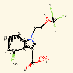 O=C(O)c1cn(CCOC(F)(F)F)c2cccc(F)c12